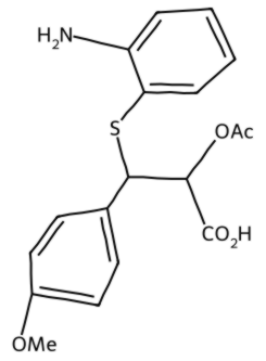 COc1ccc(C(Sc2ccccc2N)C(OC(C)=O)C(=O)O)cc1